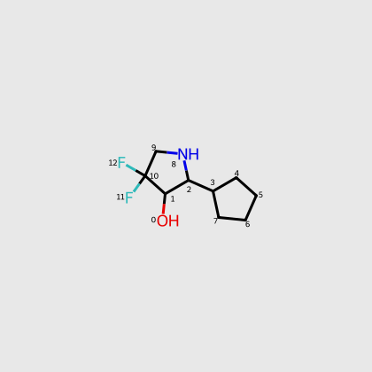 OC1C(C2CCCC2)NCC1(F)F